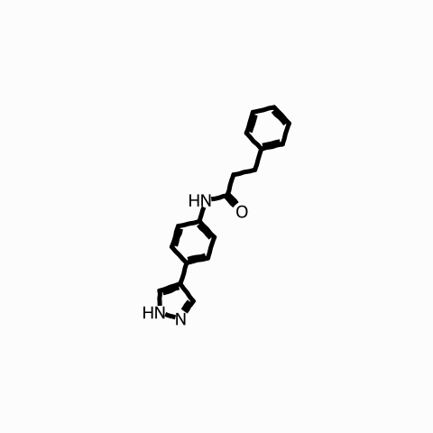 O=C(CCc1ccccc1)Nc1ccc(-c2cn[nH]c2)cc1